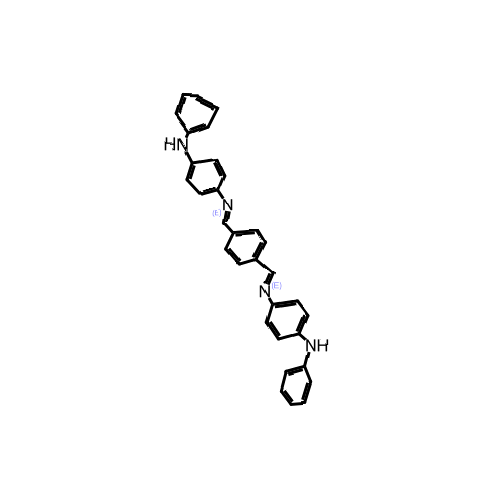 C(=N\c1ccc(Nc2ccccc2)cc1)/c1ccc(/C=N/c2ccc(Nc3ccccc3)cc2)cc1